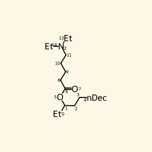 [CH2]CC(CCCCCCCCCCCC)OC(=O)CCCCN(CC)CC